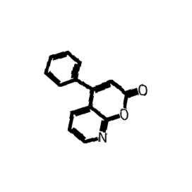 O=c1cc(-c2ccccc2)c2cccnc2o1